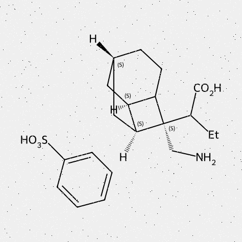 CCC(C(=O)O)[C@]1(CN)C2CC[C@H]3C[C@@H]2[C@@H]1C3.O=S(=O)(O)c1ccccc1